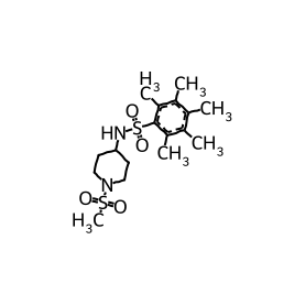 Cc1c(C)c(C)c(S(=O)(=O)NC2CCN(S(C)(=O)=O)CC2)c(C)c1C